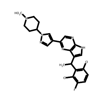 CC(c1c(Cl)ccc(F)c1Cl)c1c[nH]c2ncc(-c3cnn(C4CCN(C(=O)O)CC4)c3)nc12